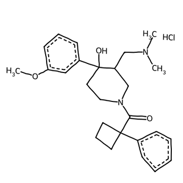 COc1cccc(C2(O)CCN(C(=O)C3(c4ccccc4)CCC3)CC2CN(C)C)c1.Cl